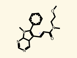 COCCN(C)C(=O)/C=C/C1=C(c2ccccc2)N(C)C2N=CN=CC12